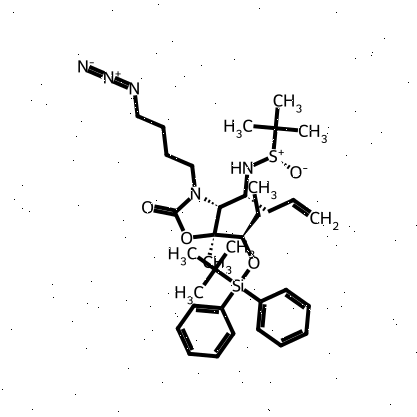 C=CC[C@@H](N[S@@+]([O-])C(C)(C)C)[C@H]1N(CCCCN=[N+]=[N-])C(=O)O[C@]1(C)[C@@H](CC)O[Si](c1ccccc1)(c1ccccc1)C(C)(C)C